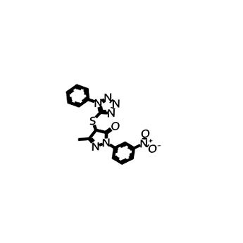 CC1=NN(c2cccc([N+](=O)[O-])c2)C(=O)C1Sc1nnnn1-c1ccccc1